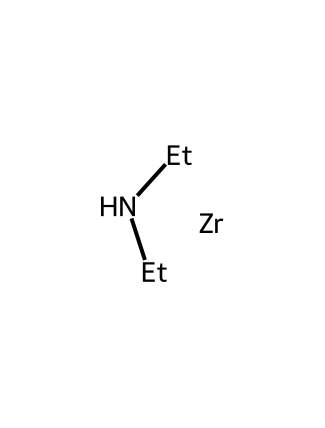 CCNCC.[Zr]